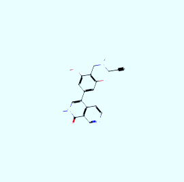 C#CCN(C)Cc1c(OC)cc(-c2cn(C)c(=O)c3cnccc23)cc1OC